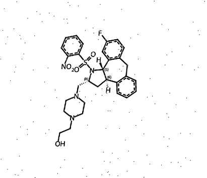 O=[N+]([O-])c1ccccc1S(=O)(=O)N1[C@@H](CN2CCN(CCO)CC2)C[C@@H]2c3ccccc3Cc3ccc(F)cc3[C@H]21